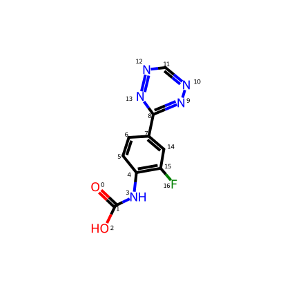 O=C(O)Nc1ccc(-c2nncnn2)cc1F